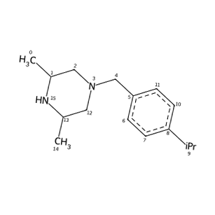 CC1CN(Cc2ccc(C(C)C)cc2)CC(C)N1